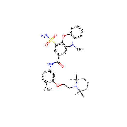 CCCCNc1cc(C(=O)Nc2ccc(OC)c(OCCN3C(C)(C)CCCC3(C)C)c2)cc(S(N)(=O)=O)c1Oc1ccccc1